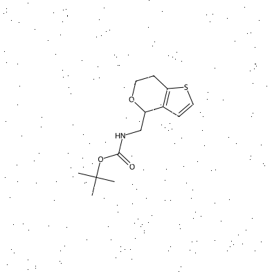 CC(C)(C)OC(=O)NCC1OCCc2sccc21